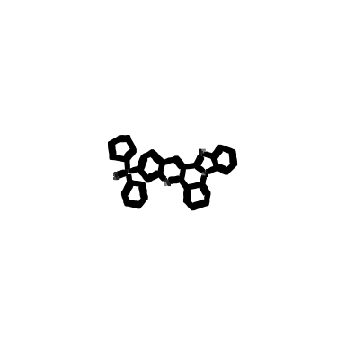 S=P(c1ccccc1)(c1ccccc1)c1ccc2cc3c(nc2c1)c1ccccc1n1c2ccccc2nc31